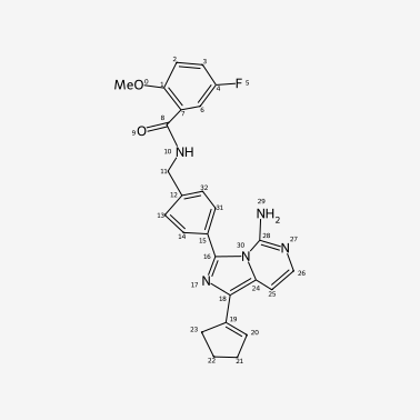 COc1ccc(F)cc1C(=O)NCc1ccc(-c2nc(C3=CCCC3)c3ccnc(N)n23)cc1